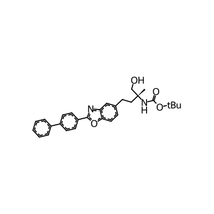 CC(C)(C)OC(=O)N[C@@](C)(CO)CCc1ccc2oc(-c3ccc(-c4ccccc4)cc3)nc2c1